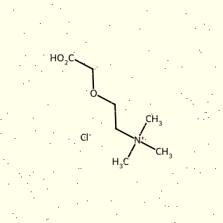 C[N+](C)(C)CCOCC(=O)O.[Cl-]